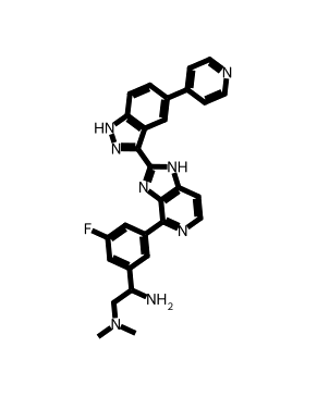 CN(C)CC(N)c1cc(F)cc(-c2nccc3[nH]c(-c4n[nH]c5ccc(-c6ccncc6)cc45)nc23)c1